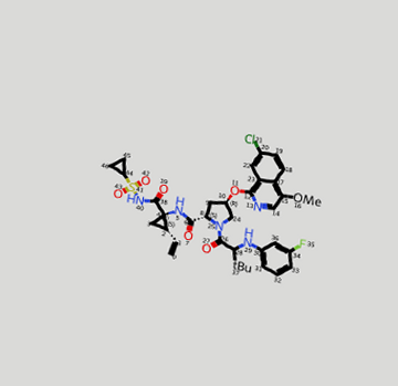 C=C[C@@H]1C[C@]1(NC(=O)[C@@H]1C[C@@H](Oc2ncc(OC)c3ccc(Cl)cc23)CN1C(=O)C(Nc1cccc(F)c1)C(C)(C)C)C(=O)NS(=O)(=O)C1CC1